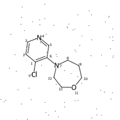 Clc1ccncc1N1C[CH]COCC1